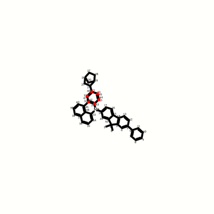 CC1(C)c2cc(-c3ccccc3)ccc2-c2ccc(N(c3ccc(C4CC5CCC4C5)cc3)c3cccc4cccc(C5CCCCC5)c34)cc21